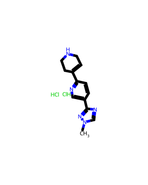 Cl.Cl.Cn1cnc(-c2ccc(C3=CCNCC3)nc2)n1